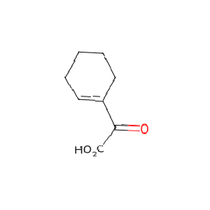 O=C(O)C(=O)C1=CCCCC1